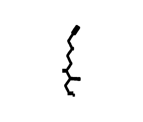 C#CCOCCNC(=O)CN